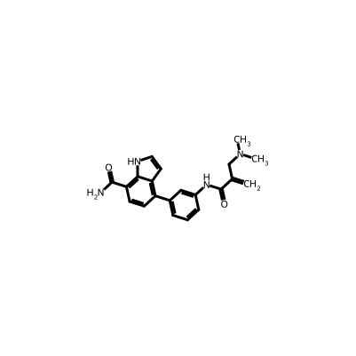 C=C(CN(C)C)C(=O)Nc1cccc(-c2ccc(C(N)=O)c3[nH]ccc23)c1